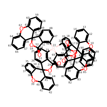 O=C1OC2(c3ccccc3Oc3ccccc32)c2cccc([B-](c3cccc4c3C(=O)OC43c4ccccc4Oc4ccccc43)(c3cccc4c3C(=O)OC43c4ccccc4Oc4ccccc43)c3cccc4c3C(=O)OC43c4ccccc4Oc4ccccc43)c21